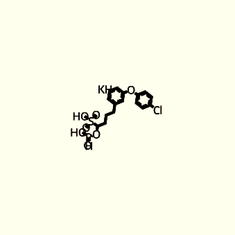 O=[PH](O)OC(CCCc1cccc(Oc2ccc(Cl)cc2)c1)S(=O)(=O)O.[KH]